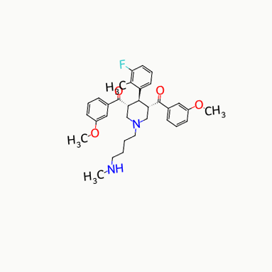 CNCCCCN1C[C@H](C(=O)c2cccc(OC)c2)[C@@H](c2cccc(F)c2C)[C@H](C(=O)c2cccc(OC)c2)C1